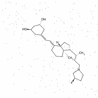 C[C@H](CCN1CC[C@@H](F)C1)[C@H]1CC[C@H]2/C(=C/C=C3C[C@@H](O)C[C@H](O)C3)CCC[C@]12C